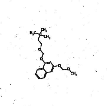 COCOc1cc(OCOCC[Si](C)(C)C)c2ccccc2c1